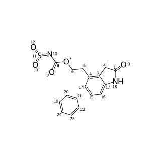 O=C1Cc2c(CCOC(=O)N=S(=O)=O)cccc2N1.c1ccccc1